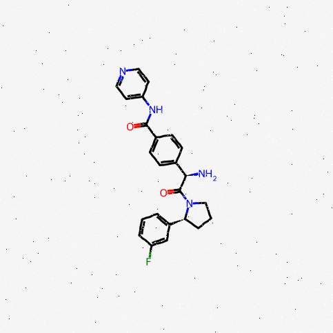 N[C@@H](C(=O)N1CCC[C@H]1c1cccc(F)c1)c1ccc(C(=O)Nc2ccncc2)cc1